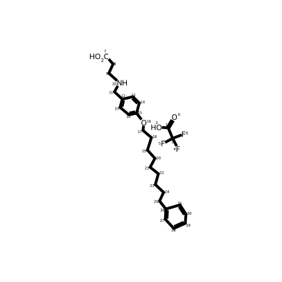 O=C(O)C(F)(F)F.O=C(O)CCNCc1ccc(OCCCCCCCCCc2ccccc2)cc1